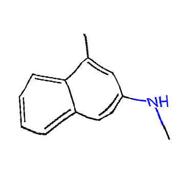 CNc1cc(C)c2ccccc2c1